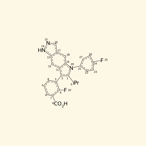 CC(C)c1c(-c2cccc(C(=O)O)c2F)c2cc3[nH]ncc3cc2n1-c1ccc(F)cc1